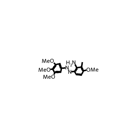 COc1ccc(N=Nc2cc(OC)c(OC)c(OC)c2)c(N)c1C